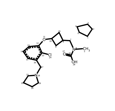 C1CCCC1.CN(CC1CC(Oc2cccc(CN3CCCC3)c2Cl)C1)C(=O)O